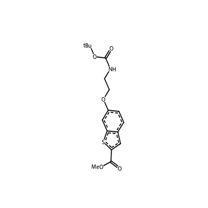 COC(=O)c1cc2ccc(OCCNC(=O)OC(C)(C)C)cc2s1